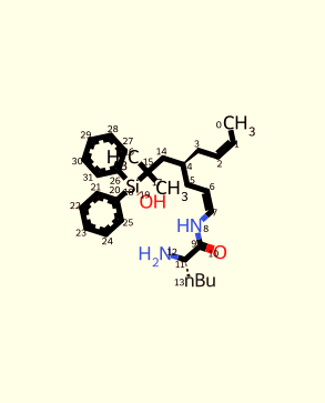 C/C=C\C[C@@H](C/C=C\NC(=O)[C@@H](N)CCCC)CC(C)(C)[Si](O)(c1ccccc1)c1ccccc1